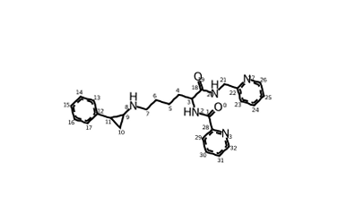 O=C(NC(CCCCNC1CC1c1ccccc1)C(=O)NCc1ccccn1)c1ccccn1